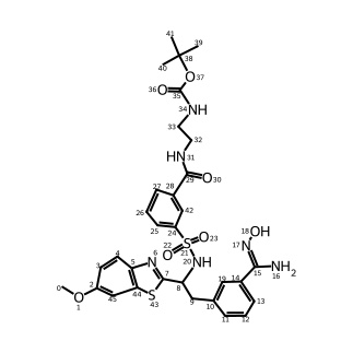 COc1ccc2nc(C(Cc3cccc(C(N)=NO)c3)NS(=O)(=O)c3cccc(C(=O)NCCNC(=O)OC(C)(C)C)c3)sc2c1